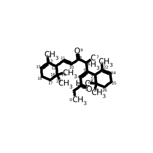 CCC(=O)C=C(C(C)C(=O)/C=C/C1C(C)=CCCC1(C)C)C1C(C)=CCCC1(C)C